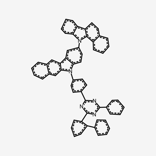 c1ccc(-c2nc(-c3ccc(-n4c5ccc(-n6c7ccccc7c7ccc8ccccc8c76)cc5c5cc6ccccc6cc54)cc3)nc(-c3ccccc3-c3ccccc3)n2)cc1